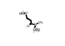 CCCCOCCC(=O)N(C)OC